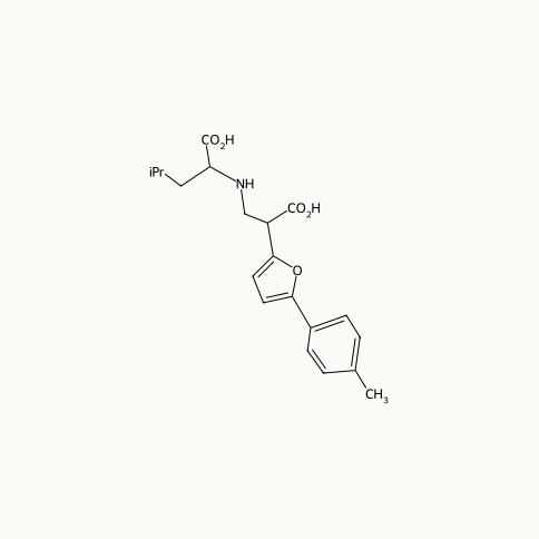 Cc1ccc(-c2ccc(C(CNC(CC(C)C)C(=O)O)C(=O)O)o2)cc1